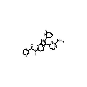 Cc1cccc(-c2nc3nc(NC(=O)c4cccnc4)ccn3c2-c2ccnc(N)n2)n1